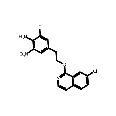 Nc1c(F)cc(CCOc2nccc3ccc(Cl)cc23)cc1[N+](=O)[O-]